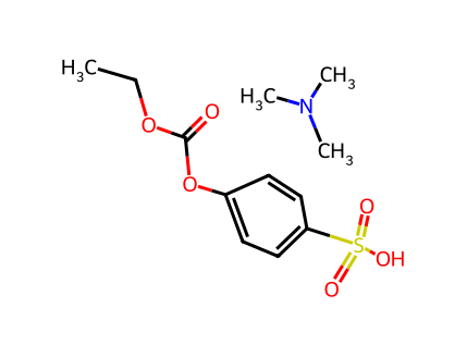 CCOC(=O)Oc1ccc(S(=O)(=O)O)cc1.CN(C)C